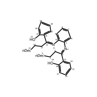 CCCCCCCCCCCCC(=Nc1ccccc1N=C(CCCCCCCCCCCC)c1ccccc1O)c1ccccc1O